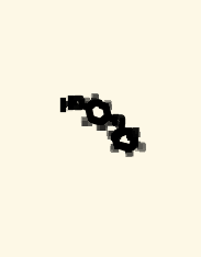 OC1CCC(Oc2ccccn2)CC1